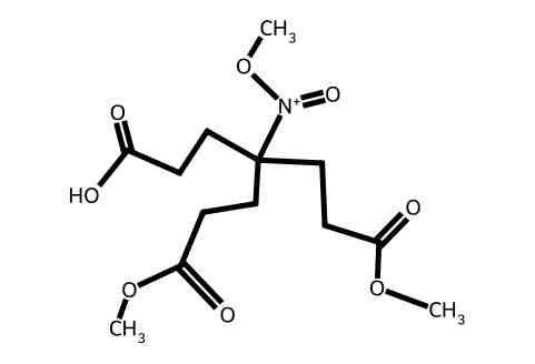 COC(=O)CCC(CCC(=O)O)(CCC(=O)OC)[N+](=O)OC